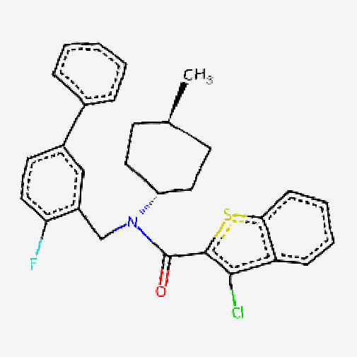 C[C@H]1CC[C@H](N(Cc2cc(-c3ccccc3)ccc2F)C(=O)c2sc3ccccc3c2Cl)CC1